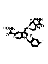 O=C(NO)c1cc2c(CN3CC[C@@H]4C(=O)NC[C@H]4C3)cn(Cc3ccc(F)cc3F)c2cn1